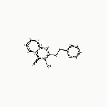 O=c1c(O)c(CCc2ccccc2)sc2ccccc12